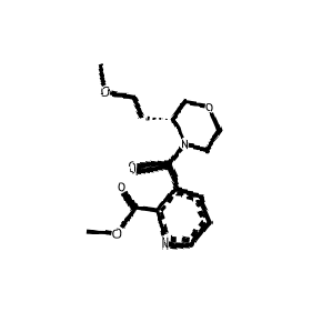 COCC[C@@H]1COCCN1C(=O)c1cccnc1C(=O)OC